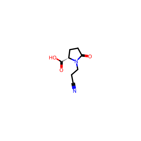 N#CCCN1C(=O)CC[C@H]1C(=O)O